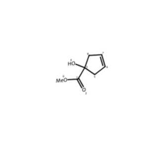 COC(=O)C1(O)CC=CC1